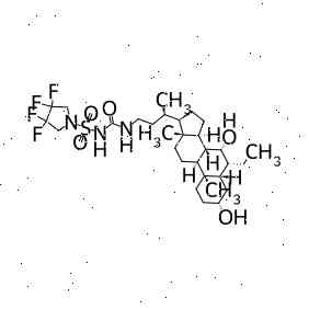 CC[C@H]1[C@@H](O)[C@@H]2[C@H](CC[C@]3(C)[C@@H]([C@H](C)CCNC(=O)NS(=O)(=O)N4CC(F)(F)C(F)(F)C4)CC[C@@H]23)[C@@]2(C)CC[C@@H](O)C[C@@H]12